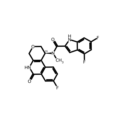 CN(C(=O)c1cc2c(F)cc(F)cc2[nH]1)[C@@H]1COCc2[nH]c(=O)c3cc(F)ccc3c21